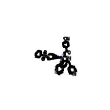 N#Cc1ccc(C(=O)/C=C2\NC(Cc3ccncc3)(Cc3ccncc3)C(=O)N2C2C3CN(S(=O)(=O)c4ccccc4)CC32)cc1